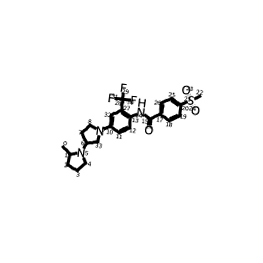 CC1CCCN1C1CCN(c2ccc(NC(=O)c3ccc(S(C)(=O)=O)cc3)c(C(F)(F)F)c2)C1